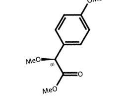 COC(=O)[C@@H](OC)c1ccc(OC)cc1